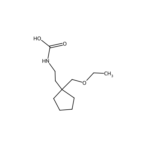 CCOCC1(CCNC(=O)O)CCCC1